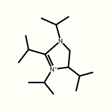 CC(C)C1=[N+](C(C)C)C(C(C)C)CN1C(C)C